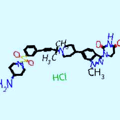 Cl.Cn1nc(N2CCC(=O)NC2=O)c2ccc(C3CCN(C(C)(C)C#Cc4cccc(S(=O)(=O)N5CCC(N)CC5)c4)CC3)cc21